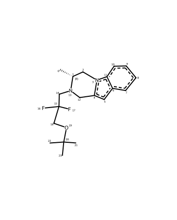 C[C@@H]1Cn2c(cc3ccccc32)CN1CC(F)(F)COC(C)(C)C